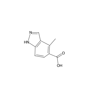 Cc1c(C(=O)O)ccc2[nH]ncc12